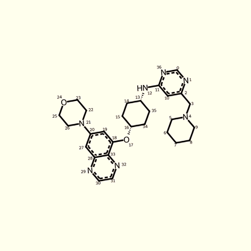 c1nc(CN2CCCCC2)cc(N[C@H]2CC[C@@H](Oc3cc(N4CCOCC4)cc4nccnc34)CC2)n1